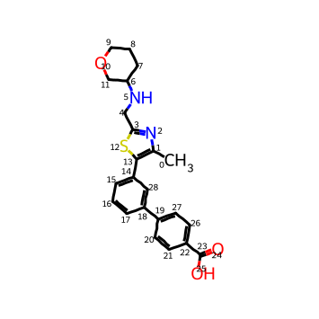 Cc1nc(CNC2CCCOC2)sc1-c1cccc(-c2ccc(C(=O)O)cc2)c1